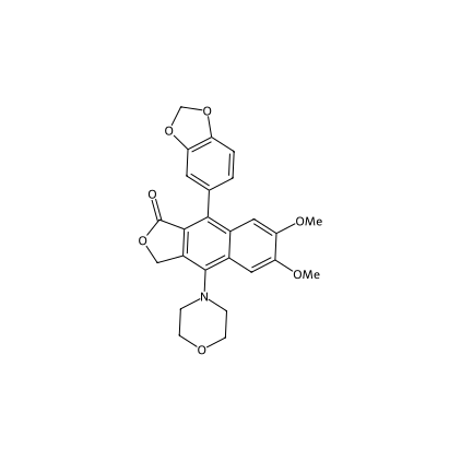 COc1cc2c(-c3ccc4c(c3)OCO4)c3c(c(N4CCOCC4)c2cc1OC)COC3=O